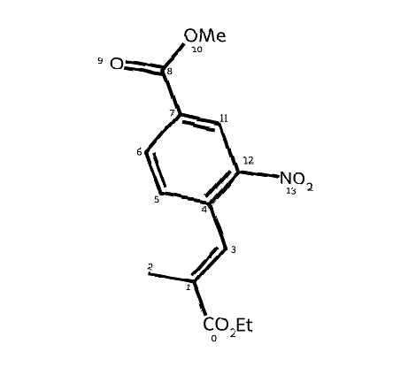 CCOC(=O)/C(C)=C/c1ccc(C(=O)OC)cc1[N+](=O)[O-]